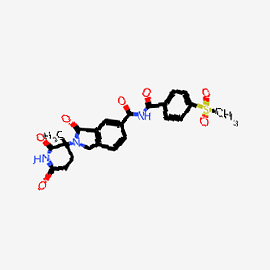 CC1(N2Cc3ccc(C(=O)NC(=O)c4ccc(S(C)(=O)=O)cc4)cc3C2=O)CCC(=O)NC1=O